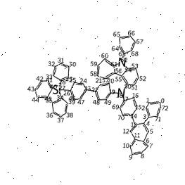 c1ccc(-c2cc3ccccc3cc2-c2ccc(N(c3ccc(-c4ccc([Si](c5ccccc5)(c5ccccc5)c5ccccc5)cc4)cc3)c3cccc4c3c3ccccc3n4-c3ccccc3)cc2)cc1